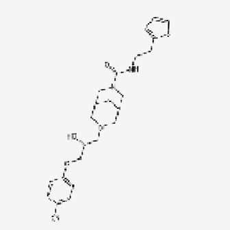 N#Cc1ccc(OCC(O)CN2CC3CC(C2)CN(C(=O)NCCc2cccs2)C3)cc1